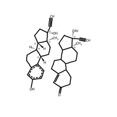 C#C[C@]1(O)CC[C@H]2[C@@H]3CCc4cc(O)ccc4[C@H]3CC[C@@]21C.C#C[C@]1(OC(C)=O)CCC2C3CCC4=CC(=O)CCC4C3CC[C@@]21C